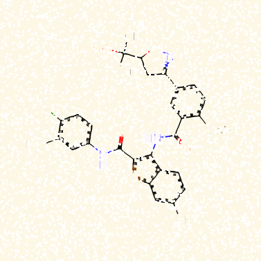 COc1ccc(C2=NOC(C(C)(C)O)C2)cc1C(=O)Nc1c(C(=O)Nc2ccc(F)c(C(F)(F)F)c2)sc2cc(C(F)(F)F)ccc12